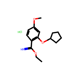 CCOC(=N)c1ccc(OC)cc1OC1CCCC1.Cl